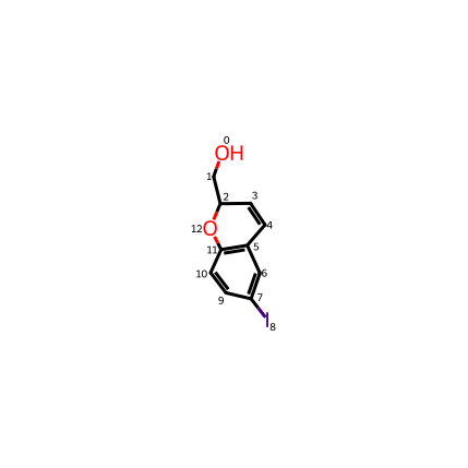 OCC1C=Cc2cc(I)ccc2O1